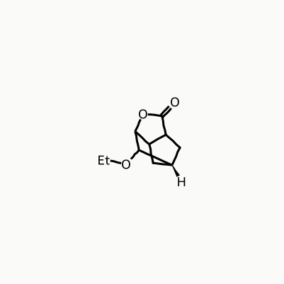 CCOC1C2OC(=O)C3C[C@@H]1CC32